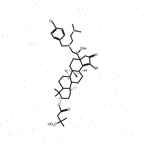 CC(=O)O[C@H](CN(CCN(C)C)Cc1ccc(Cl)cc1)C12CC[C@]3(C)[C@H](CCC4[C@H]3CCC3C(C)(C)[C@@H](OC(=O)CC(C)(C)C(=O)O)CC[C@]43C)C1=C(C(C)C)C(=O)C2